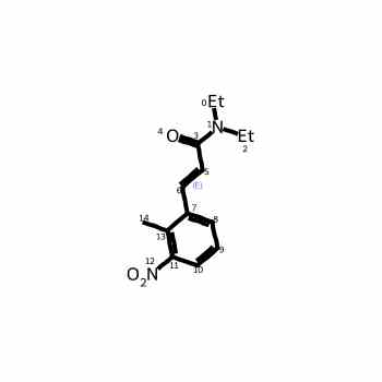 CCN(CC)C(=O)/C=C/c1cccc([N+](=O)[O-])c1C